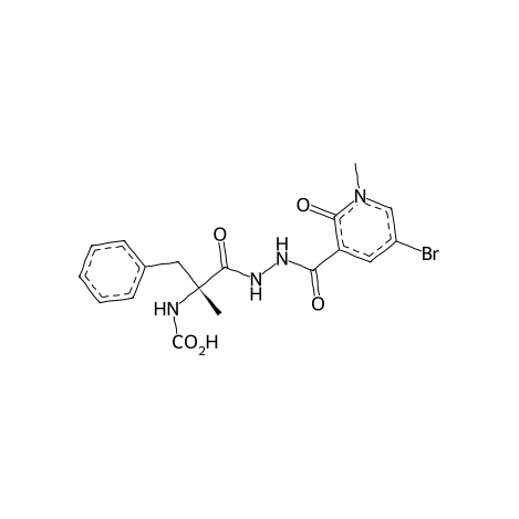 Cn1cc(Br)cc(C(=O)NNC(=O)[C@@](C)(Cc2ccccc2)NC(=O)O)c1=O